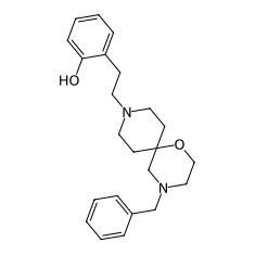 Oc1ccccc1CCN1CCC2(CC1)CN(Cc1ccccc1)CCO2